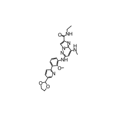 CCNC(=O)c1cn2nc(Nc3cccc(-c4ccc(C5OCCO5)cn4)c3OC)cc(NC)c2n1